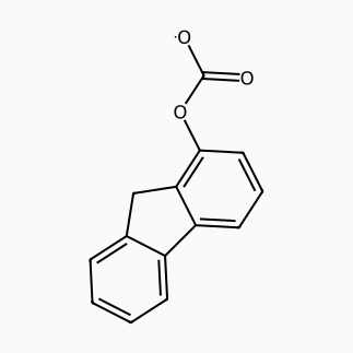 [O]C(=O)Oc1cccc2c1Cc1ccccc1-2